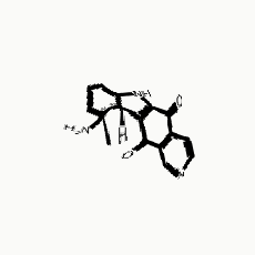 C[C@@]1(N)C=CC=C2NC3=C(C(=O)c4cnccc4C3=O)[C@@H]21